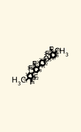 CCc1ccc(-c2ccc(C3=CCC(OCc4ccc(C)c(F)c4F)CC3)c(F)c2F)c(F)c1F